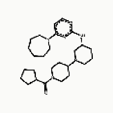 O=C(C1CCCC1)N1CCC(N2CCC[C@H](Nc3nccc(N4CCCCCC4)n3)C2)CC1